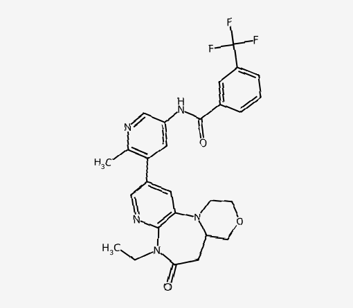 CCN1C(=O)CC2COCCN2c2cc(-c3cc(NC(=O)c4cccc(C(F)(F)F)c4)cnc3C)cnc21